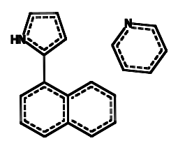 c1c[nH]c(-c2cccc3ccccc23)c1.c1ccncc1